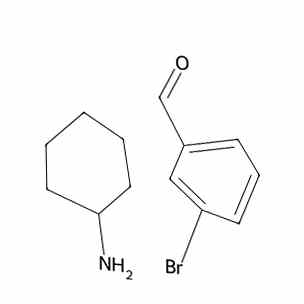 NC1CCCCC1.O=Cc1cccc(Br)c1